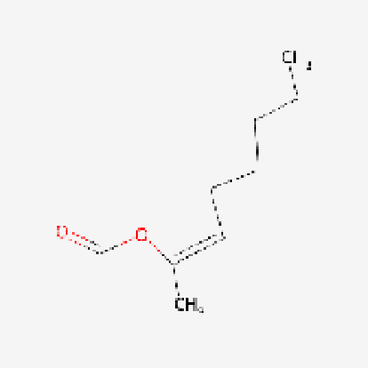 CCCCCC=C(C)OC=O